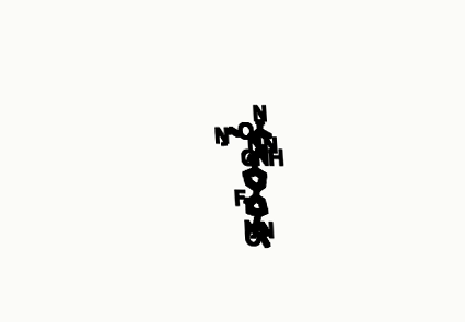 Cc1nc(-c2ccc(-c3ccc(C(=O)Nc4ncc(C#N)c(OCCN(C)C)n4)cc3)c(F)c2)no1